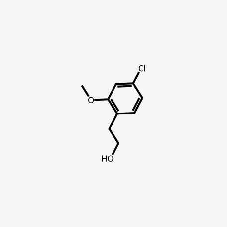 COc1cc(Cl)ccc1CCO